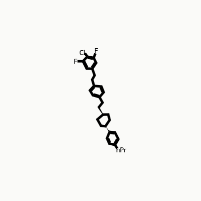 CCCc1ccc([C@H]2CC[C@H](CCc3ccc(CCc4cc(F)c(Cl)c(F)c4)cc3)CC2)cc1